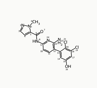 Cn1nccc1C(=O)Nc1ccc(-c2cc(O)cc(Cl)c2Cl)c(N)n1